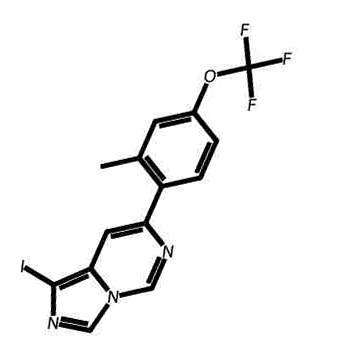 Cc1cc(OC(F)(F)F)ccc1-c1cc2c(I)ncn2cn1